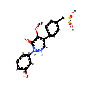 CCCOc1c(-c2ccc(C[SH](=O)=O)cc2)cnn(-c2cccc(Br)c2)c1=O